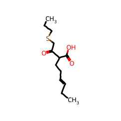 CCC=CCCC(C(=O)O)C(=O)CSCCC